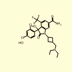 CCN(CC)CC1CC(N2C(=O)C(O)(c3ccc(Cl)cc3Cl)c3c2cc(C(N)=O)cc3C(F)(F)F)C1.Cl